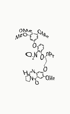 CCCC(CCOc1cc2c(cc1OC)C(=O)N1CCC[C@H]1C=N2)Oc1cccc(Oc2cc(OC)c(OC)c(OC)c2)c1[N+](=O)[O-]